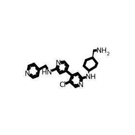 NC[C@H]1CC[C@H](Nc2cc(-c3ccnc(NCc4ccncc4)c3)c(Cl)cn2)CC1